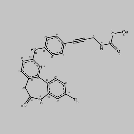 CC(C)(C)OC(=O)NCC#Cc1ccc(Nc2ncc3c(n2)-c2ccc(Cl)cc2NC(=O)C3)cc1